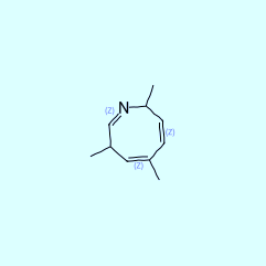 CC1=C/C(C)/C=N\C(C)/C=C\1